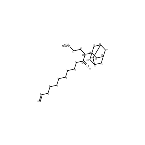 C=CCCCCCCCCC(=O)N(CCCCCCCCCCCC)C12CC3CC(CC(C3)C1)C2